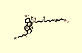 CC(C)CCC[C@@H](C)[C@H]1CC[C@H]2[C@@H]3C[C@@H](NCCCNCCCCNCCCN)[C@@]4(O)C[C@@H](O)CC[C@]4(C)[C@H]3CC[C@]12C